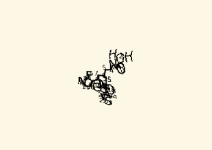 O=C(O)NCCc1cc(-c2cccnc2F)n(S(=O)(=O)c2ccsc2)c1